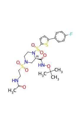 CC(=O)NCCS(=O)(=O)N1CCN(S(=O)(=O)c2ccc(-c3ccc(F)cc3)s2)[C@@H](C(=O)NOC(C)(C)C)C1